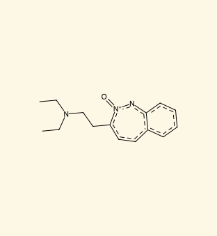 CCN(CC)CCc1ccc2ccccc2n[n+]1=O